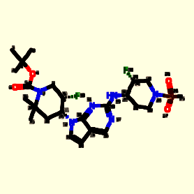 CC(C)(C)OC(=O)N1C[C@H](F)[C@H](n2ccc3cnc(N[C@@H]4CCN(S(C)(=O)=O)C[C@H]4F)nc32)CC1(C)C